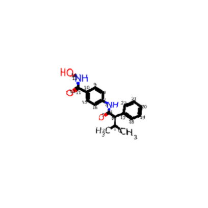 CC(C)[C@@H](C(=O)Nc1ccc(C(=O)NO)cc1)c1ccccc1